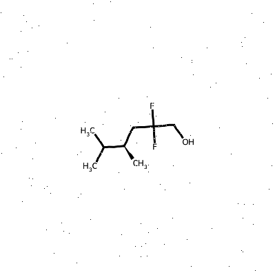 CC(C)[C@H](C)CC(F)(F)CO